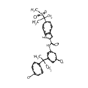 CC(C)(c1ccc(Cl)cc1)c1cc(Cl)cc(NC(=O)c2cc3ccc(C(C)(C)S(C)(=O)=O)cc3[nH]2)c1